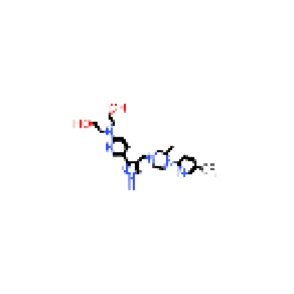 CC1CN(Cc2c[nH]nc2-c2ccc(N(CCO)CCO)nc2)CCN1c1ccc(C(F)(F)F)cn1